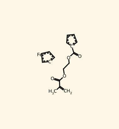 C=C(C)C(=O)OCCOC(=O)[c-]1cccc1.[Fe+2].c1cc[cH-]c1